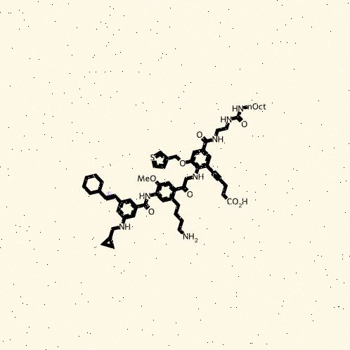 CCCCCCCCNC(=O)NCCNC(=O)c1cc(C#CCCC(=O)O)c(NCC(=O)c2cc(OC)c(NC(=O)c3cc(/C=C/C4CCCCC4)cc(NCC4CC4)c3)cc2CCCCN)c(OCc2ccsc2)c1